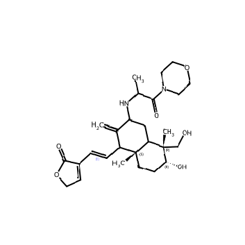 C=C1C(NC(C)C(=O)N2CCOCC2)CC2[C@](C)(CC[C@@H](O)[C@@]2(C)CO)C1/C=C/C1=CCOC1=O